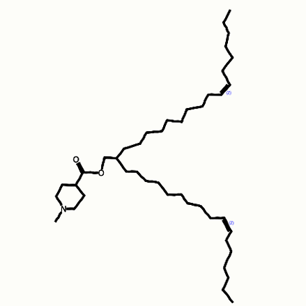 CCCCCC/C=C\CCCCCCCCCC(CCCCCCCCC/C=C\CCCCCC)COC(=O)C1CCN(C)CC1